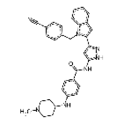 CN1CCC(Nc2ccc(C(=O)Nc3cc(-c4cc5ccccc5n4Cc4ccc(C#N)cc4)n[nH]3)cc2)CC1